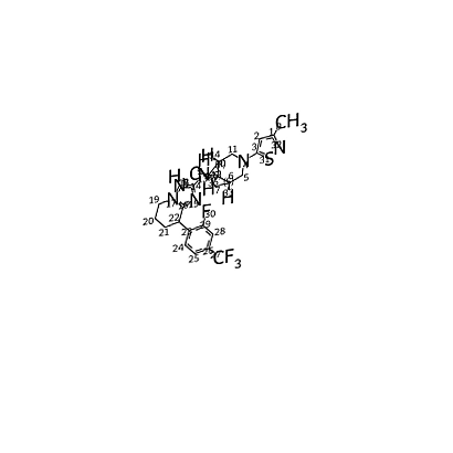 Cc1cc(N2C[C@@H]3CC(C)[C@H](C2)[C@H]3Nc2nc3n(n2)CCCC3c2ccc(C(F)(F)F)cc2F)sn1